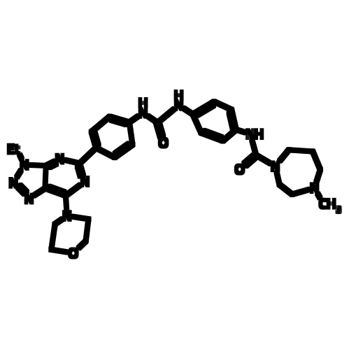 CCn1nnc2c(N3CCOCC3)nc(-c3ccc(NC(=O)Nc4ccc(NC(=O)N5CCCN(C)CC5)cc4)cc3)nc21